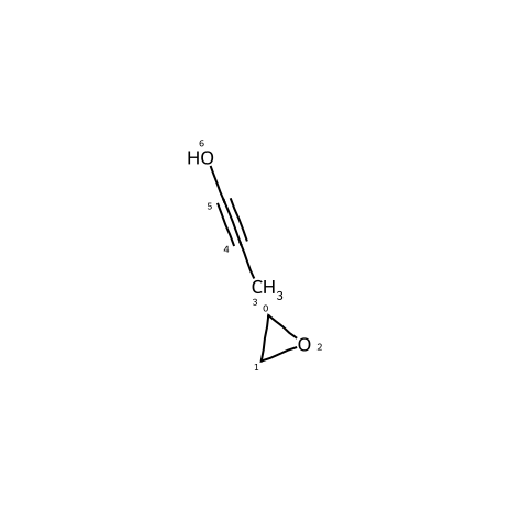 C1CO1.CC#CO